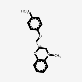 CN1C[C@@H](COc2ccc(C(=O)O)cc2)Oc2ccccc21